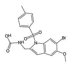 COc1cc2cc(CNC(=O)O)n(S(=O)(=O)c3ccc(C)cc3)c2cc1Br